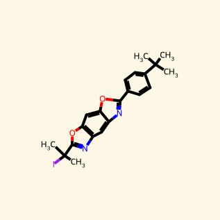 CC(C)(C)c1ccc(-c2nc3cc4nc(C(C)(C)I)oc4cc3o2)cc1